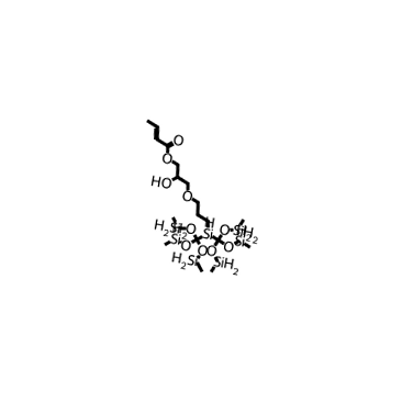 CC=CC(=O)OCC(O)COCCC[SiH](C(O[SiH2]C)(O[SiH2]C)O[SiH2]C)C(O[SiH2]C)(O[SiH2]C)O[SiH2]C